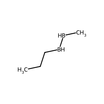 CBBCCC